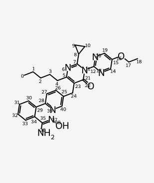 CCCCCc1nc(C2CC2)n(-c2ncc(OCC)cn2)c(=O)c1Cc1ccc(-c2ccccc2C(N)=NO)nc1